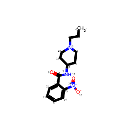 [CH2]CCN1CCC(NC(=O)c2ccccc2[N+](=O)[O-])CC1